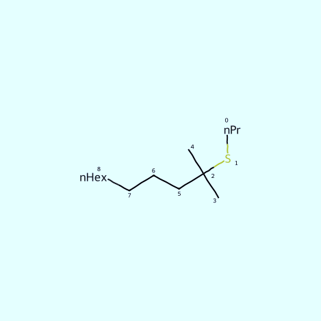 C[CH]CSC(C)(C)CCCCCCCCC